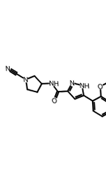 COc1ccccc1-c1cc(C(=O)NC2CCN(C#N)C2)n[nH]1